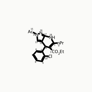 CCCC1=C(C(=O)OCC)C(c2ccccc2Cl)c2cn(C(C)=O)nc2N1